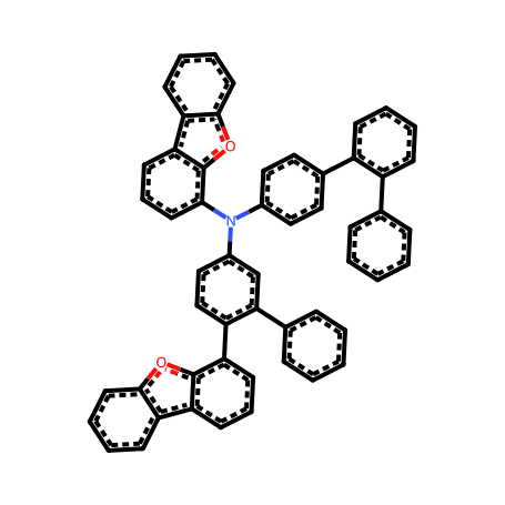 c1ccc(-c2ccccc2-c2ccc(N(c3ccc(-c4cccc5c4oc4ccccc45)c(-c4ccccc4)c3)c3cccc4c3oc3ccccc34)cc2)cc1